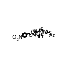 CC(=O)SC1CN(c2nc(C(=O)N(CC(=O)OCc3ccc([N+](=O)[O-])cc3)C(C)C)cs2)C1